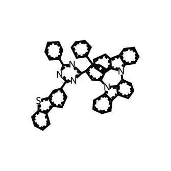 c1ccc(-c2nc(-c3ccc4c(c3)sc3ccccc34)nc(-c3cc(-n4c5ccccc5c5cccc(-n6c7ccccc7c7ccccc76)c54)ccc3-c3ccccc3)n2)cc1